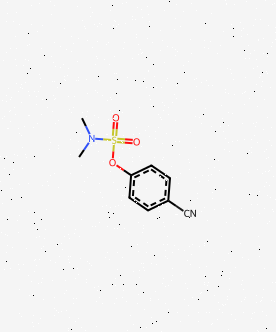 CN(C)S(=O)(=O)Oc1ccc(C#N)cc1